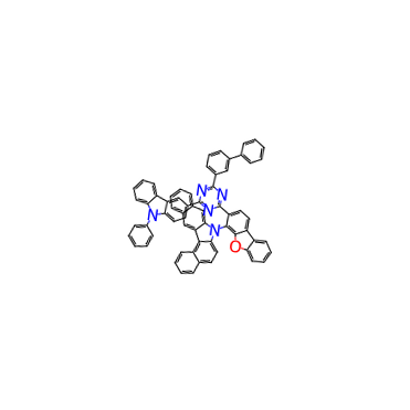 c1ccc(-c2cccc(-c3nc(-c4ccc5c(c4)c4ccccc4n5-c4ccccc4)nc(-c4ccc5c(oc6ccccc65)c4-n4c5cc6ccccc6cc5c5c6ccccc6ccc54)n3)c2)cc1